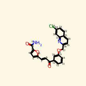 NC(=O)c1ccc(C=CC(=O)c2cccc(OCc3ccc4ccc(Cl)cc4n3)c2)o1